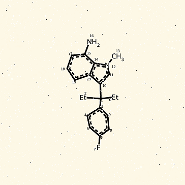 CCC(CC)(c1ccc(F)cc1)c1cn(C)c2c(N)cccc12